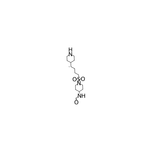 O=CNC1CCN(S(=O)(=O)CCC[CH]C2CCNCC2)CC1